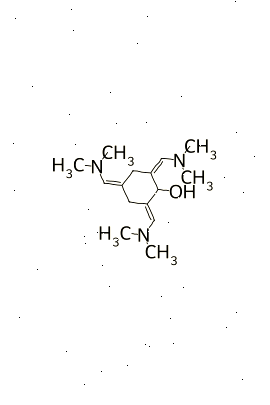 CN(C)C=C1CC(=CN(C)C)C(O)C(=CN(C)C)C1